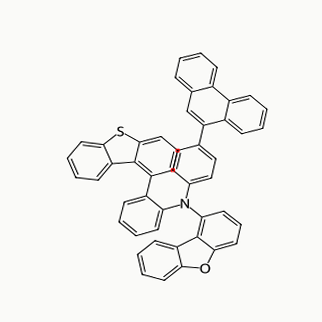 c1ccc(N(c2ccc(-c3cc4ccccc4c4ccccc34)cc2)c2cccc3oc4ccccc4c23)c(-c2cccc3sc4ccccc4c23)c1